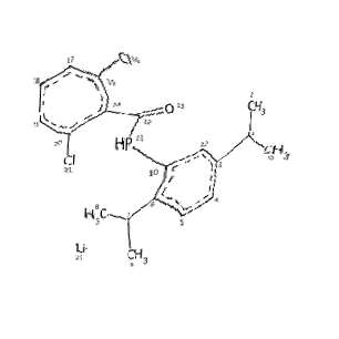 CC(C)c1ccc(C(C)C)c(PC(=O)c2c(Cl)cccc2Cl)c1.[Li]